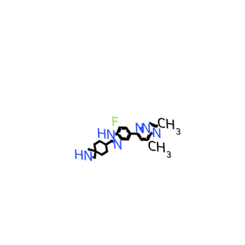 Cc1cn2nc(-c3cc(F)c4[nH]c(C5CCC6(CC5)CNC6)nc4c3)cc(C)c2n1